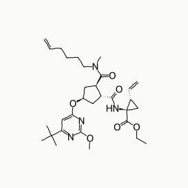 C=CCCCCN(C)C(=O)[C@@H]1C[C@H](Oc2cc(C(C)(C)C)nc(OC)n2)C[C@H]1C(=O)N[C@]1(C(=O)OCC)C[C@H]1C=C